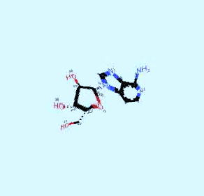 Nc1nccc2c1ncn2[C@@H]1O[C@H](CO)[C@H](O)[C@H]1O